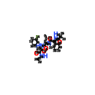 CCC[C@@H](C(=O)N[C@@H](Cc1cccc(F)c1)C(=O)C(=O)NC1CC1)N(C)C(=O)[C@H](NC(=O)C(C)(C)C)C1CCCCC1